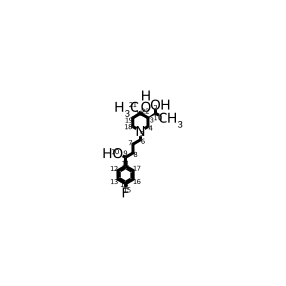 CC(O)[C@H]1CN(CCCC(O)c2ccc(F)cc2)CC[C@]1(C)O